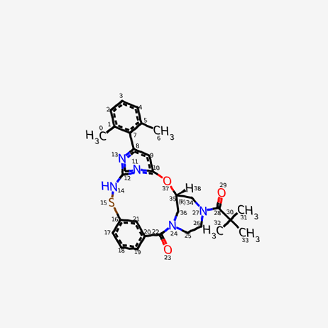 Cc1cccc(C)c1-c1cc2nc(n1)NSc1cccc(c1)C(=O)N1CCN(C(=O)C(C)(C)C)C[C@H](C1)O2